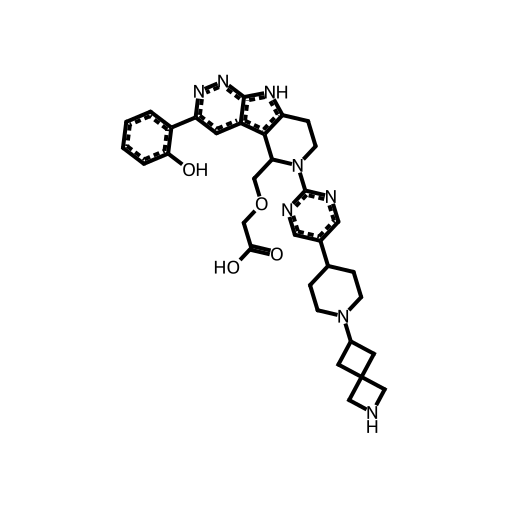 O=C(O)COCC1c2c([nH]c3nnc(-c4ccccc4O)cc23)CCN1c1ncc(C2CCN(C3CC4(CNC4)C3)CC2)cn1